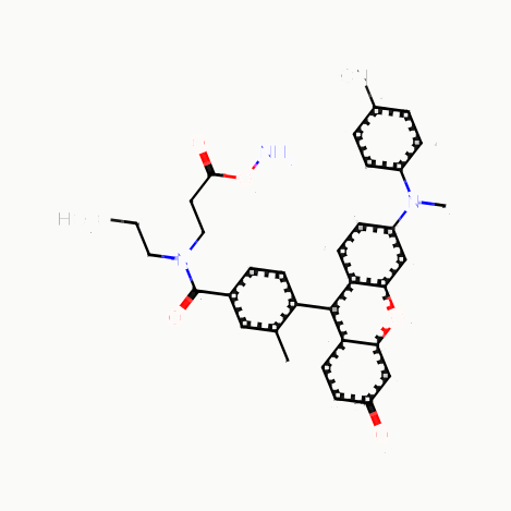 Cc1cc(C(=O)N(CCC(=O)O)CCC(=O)ON)ccc1-c1c2ccc(=O)cc-2oc2cc(N(C)c3ccc(N=O)cc3)ccc12